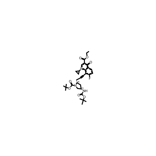 CCOC(=O)c1cn(C2CC2)c2c(C#CC[C@@H]3C[C@H](NC(=O)OC(C)(C)C)CN3C(=O)OC(C)(C)C)c(F)ccc2c1=O